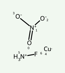 O=[N+]([O-])[O-].[Cu].[NH3+]F